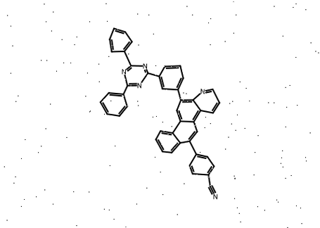 N#Cc1ccc(-c2cc3c4cccnc4c(-c4cccc(-c5nc(-c6ccccc6)nc(-c6ccccc6)n5)c4)cc3c3ccccc23)cc1